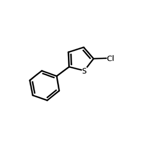 Clc1ccc(-c2ccccc2)s1